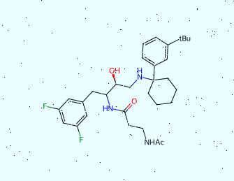 CC(=O)NCCC(=O)NC(Cc1cc(F)cc(F)c1)[C@@H](O)CNC1(c2cccc(C(C)(C)C)c2)CCCCC1